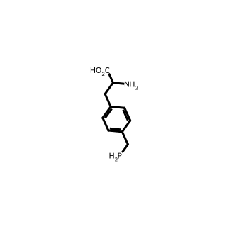 NC(Cc1ccc(CP)cc1)C(=O)O